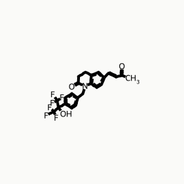 CC(=O)/C=C/c1ccc2c(c1)CCC(=O)N2Cc1ccc(C(O)(C(F)(F)F)C(F)(F)F)cc1